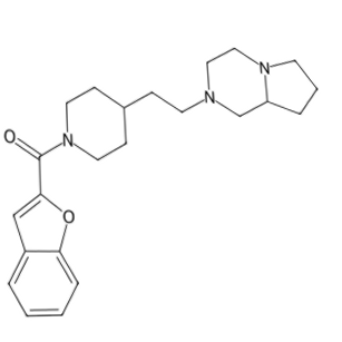 O=C(c1cc2ccccc2o1)N1CCC(CCN2CCN3CCCC3C2)CC1